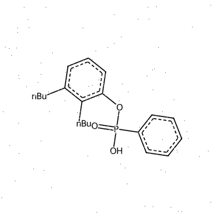 CCCCc1cccc(OP(=O)(O)c2ccccc2)c1CCCC